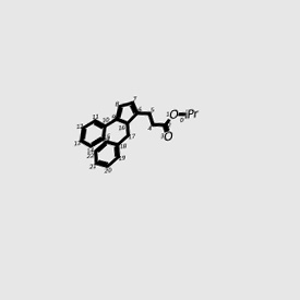 CC(C)OC(=O)CCC1=CC=C(c2ccccc2)C1Cc1ccccc1